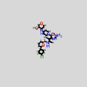 C=C(NC[C@@H]1CCCC(c2ccc(Cl)cc2)O1)/C(C)=C(\N=C/N)C(=O)N1CCC(N[C@H]2CCOC[C@H]2OC)CC1